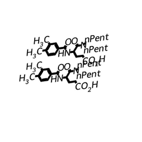 CCCCCN(CCCCC)C(=O)C(CCC(=O)O)NC(=O)c1ccc(C)c(C)c1.CCCCCN(CCCCC)C(=O)C(CCC(=O)O)NC(=O)c1ccc(C)c(C)c1